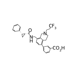 O=C(O)c1cccc(-c2ccc(CNC(=O)[C@@H]3C[C@@H]3c3ccccc3)c3c2CCN(CCC(F)(F)F)C3)c1